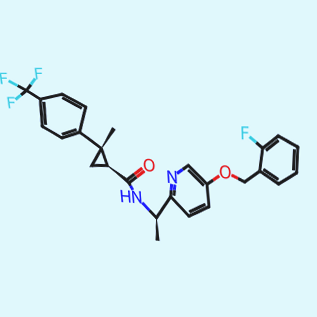 C[C@@H](NC(=O)[C@H]1C[C@]1(C)c1ccc(C(F)(F)F)cc1)c1ccc(OCc2ccccc2F)cn1